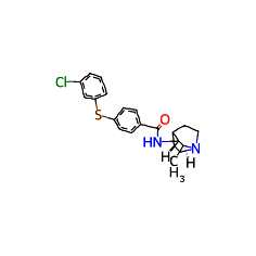 C[C@H]1[C@H](NC(=O)c2ccc(Sc3cccc(Cl)c3)cc2)C2CCN1CC2